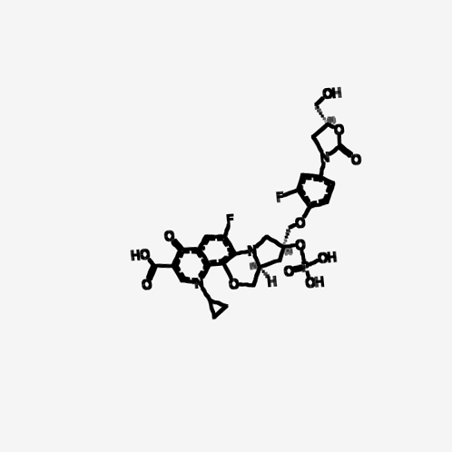 O=C(O)c1cn(C2CC2)c2c3c(c(F)cc2c1=O)N1C[C@@](COc2ccc(N4C[C@H](CO)OC4=O)cc2F)(OP(=O)(O)O)C[C@H]1CO3